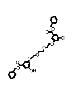 O=C(OCc1ccccc1)c1cc(O)cc(OCCOCCOCCOc2cc(O)cc(C(=O)OCc3ccccc3)c2)c1